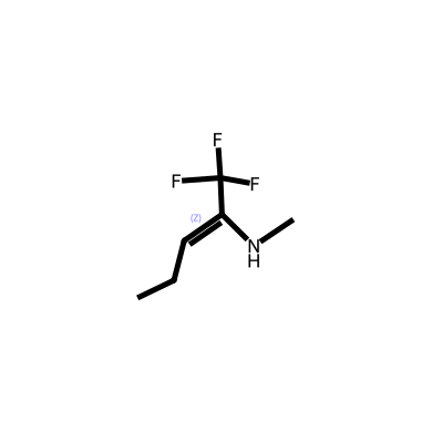 CC/C=C(\NC)C(F)(F)F